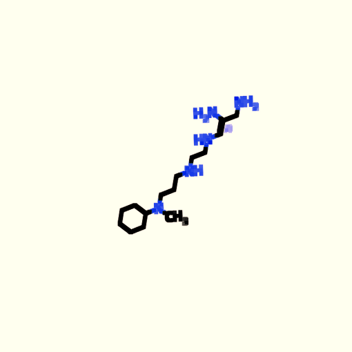 CN(CCCNCCN/C=C(\N)CN)C1CCCCC1